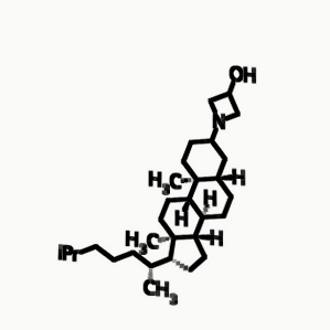 CC(C)CCC[C@@H](C)[C@H]1CC[C@H]2[C@@H]3CC[C@H]4CC(N5CC(O)C5)CC[C@]4(C)[C@H]3CC[C@]12C